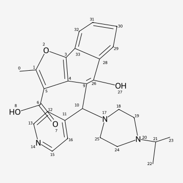 Cc1oc2c(c1C(=O)O)c(C(c1ccncc1)N1CCN(C(C)C)CC1)c(O)c1ccccc12